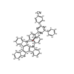 N#Cc1ccc(-c2nc(-c3ccccc3)nc(-c3ccc(-n4c5ccccc5c5c6c7ccccc7sc6c6c7ccccc7n(-c7ccccc7)c6c54)cc3)n2)cc1